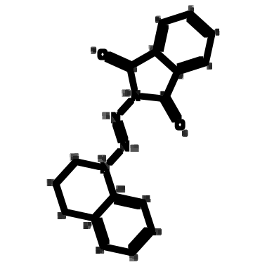 O=C1c2ccccc2C(=O)N1N=NN1CCCc2ccccc21